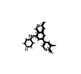 C=C/C=c1/cc(C(/C=C(/C)C=C)=C/N)cc(NC2CCNCC2)/c1=C/N